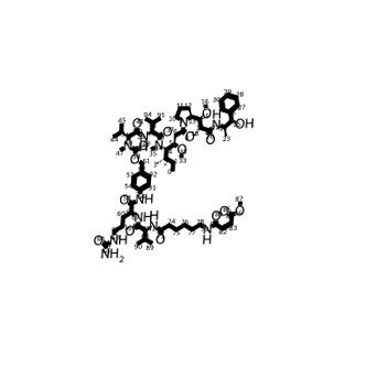 CC[C@H](C)[C@@H]([C@@H](CC(=O)N1CCC[C@H]1[C@H](OC)[C@@H](C)C(=O)N[C@H](C)[C@@H](O)c1ccccc1)OC)N(C)C(=O)[C@@H](NC(=O)[C@H](C(C)C)N(C)C(=O)OCc1ccc(NC(=O)C(CCCNC(N)=O)NC(=O)[C@@H](NC(=O)CCCCCNC(=O)/C=C\C(=O)OC)C(C)C)cc1)C(C)C